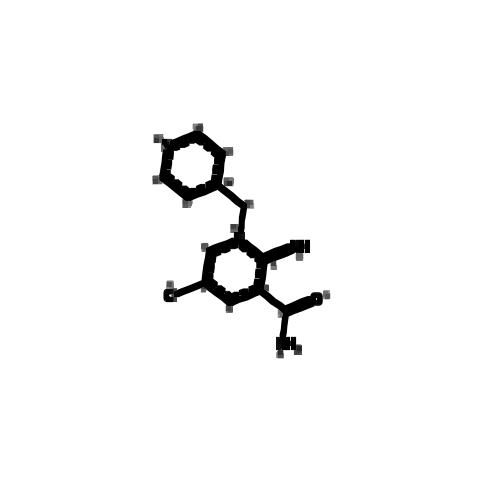 N=c1c(C(N)=O)cc(Cl)cn1Cc1ccncc1